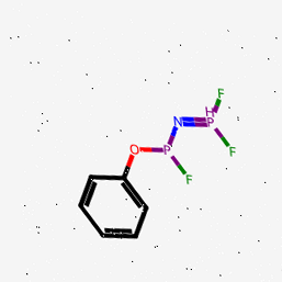 FP(N=[PH](F)F)Oc1ccccc1